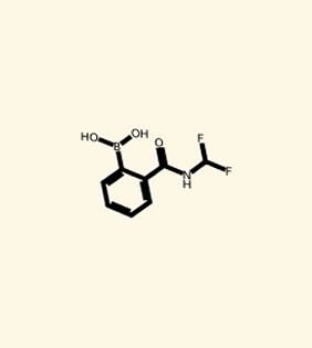 O=C(NC(F)F)c1ccccc1B(O)O